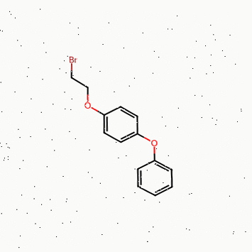 BrCCOc1ccc(Oc2[c]cccc2)cc1